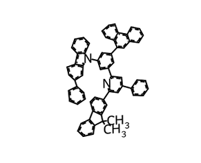 CC1(C)c2ccccc2-c2ccc(-c3cc(-c4ccccc4)cc(-c4cc(-c5cc6ccccc6c6ccccc56)cc(-n5c6ccccc6c6ccc(-c7ccccc7)cc65)c4)n3)cc21